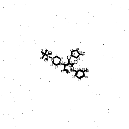 CC(C)(C)S(=O)(=O)N1CCN(c2cnn(-c3cccc(F)c3)c(=O)c2OC2CCC(F)C2)CC1